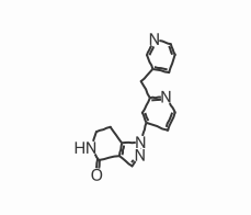 O=C1NCCc2c1cnn2-c1ccnc(Cc2cccnc2)c1